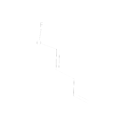 C=CCC=COF